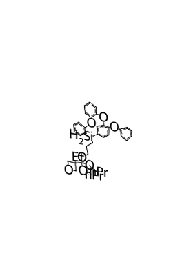 CCCOC(OCCC)(OCCC[SiH2]c1ccc(Oc2ccccc2)c(Oc2ccccc2)c1Oc1ccccc1)C1(CC)COC1